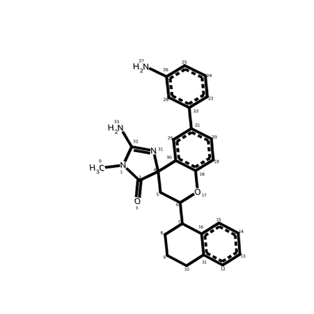 CN1C(=O)C2(CC(C3CCCc4ccccc43)Oc3ccc(-c4cccc(N)c4)cc32)N=C1N